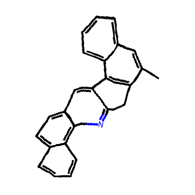 Cc1cc2ccccc2c2c1Cc1nc3c(ccc4ccccc43)cc1-2